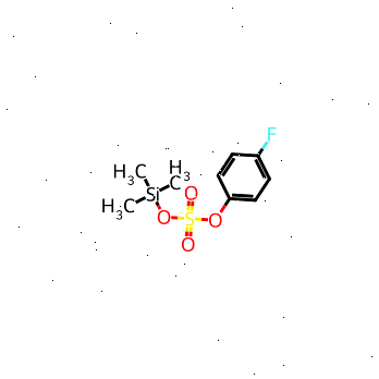 C[Si](C)(C)OS(=O)(=O)Oc1ccc(F)cc1